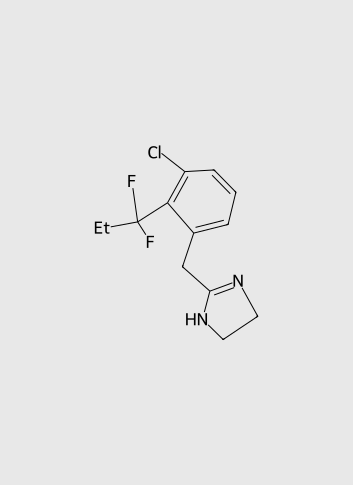 CCC(F)(F)c1c(Cl)cccc1CC1=NCCN1